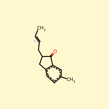 C/C=C/CC1Cc2ccc(C)cc2C1=O